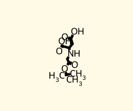 CC(C)(C)OC(=O)CNC(CC(=O)O)C(=O)O